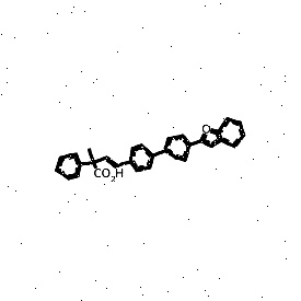 CC(C=Cc1ccc(-c2ccc(-c3cc4ccccc4o3)cc2)cc1)(C(=O)O)c1ccccc1